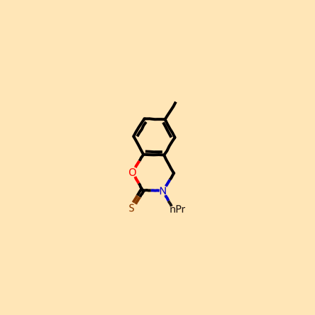 CCCN1Cc2cc(C)ccc2OC1=S